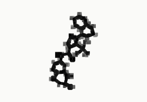 O=C1COc2ccc(NC(=O)c3cnn(-c4cccc5ncccc45)c3C(F)(F)F)cc2N1